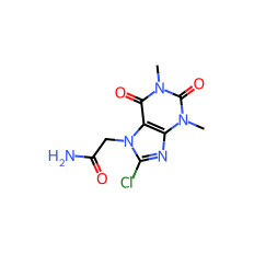 Cn1c(=O)c2c(nc(Cl)n2CC(N)=O)n(C)c1=O